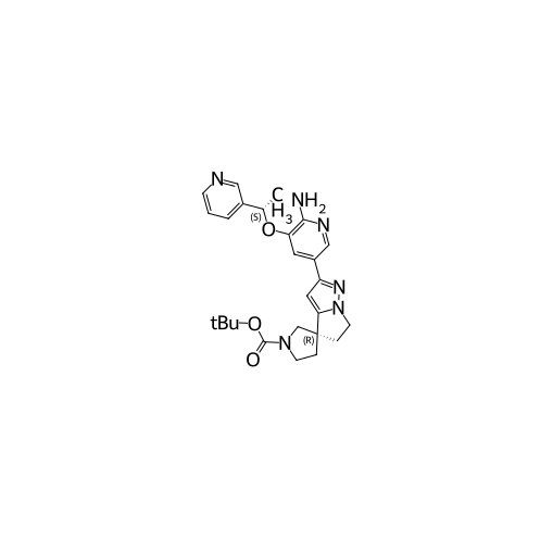 C[C@H](Oc1cc(-c2cc3n(n2)CC[C@@]32CCN(C(=O)OC(C)(C)C)C2)cnc1N)c1cccnc1